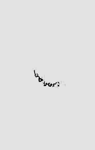 COC(=O)CN1CCC(O)(Cc2cccc(Nc3nccc(-c4ccc(N(C)CCCN(C)C(C)=O)nc4)n3)c2)CC1